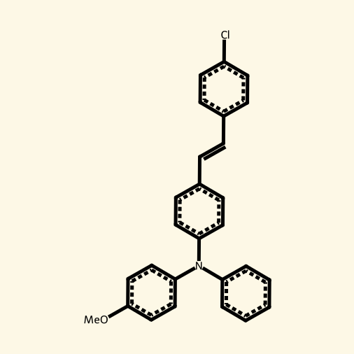 COc1ccc(N(c2ccccc2)c2ccc(C=Cc3ccc(Cl)cc3)cc2)cc1